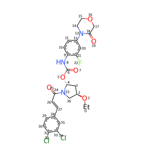 CCO[C@@H]1C[C@@H](OC(=O)Nc2ccc(N3CCOCC3=O)cc2F)N(C(=O)/C=C/c2ccc(Cl)c(Cl)c2)C1